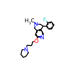 CN1Cc2cc(OCCCN3CCCCC3)ncc2C(c2ccccc2F)C1